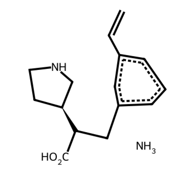 C=Cc1cccc(CC(C(=O)O)[C@H]2CCNC2)c1.N